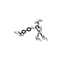 COCCN(CCOC)C(=O)CN1C(=O)[C@H](CC(=O)O)C[C@H]1COc1ccc(-c2ccc(C(=N)N)cc2)cc1